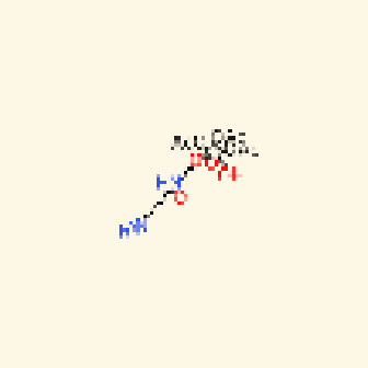 CC(=O)OC1C(OC(C)=O)[C@@H](OC(C)=O)C(CO)O[C@H]1OCCCNC(=O)CCCCCN=[N+]=[N-]